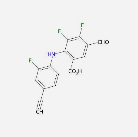 C#Cc1ccc(Nc2c(C(=O)O)cc(C=O)c(F)c2F)c(F)c1